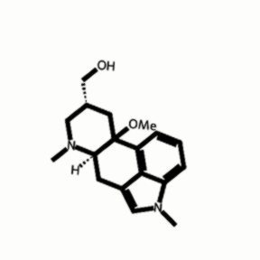 COC12C[C@@H](CO)CN(C)[C@@H]1Cc1cn(C)c3cccc2c13